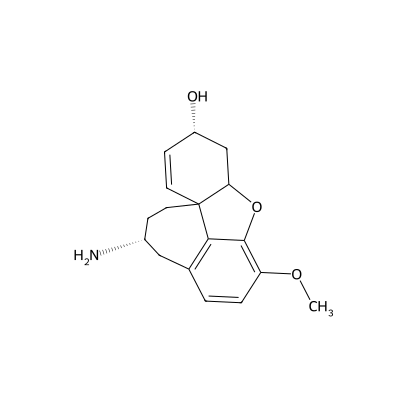 COc1ccc2c3c1OC1C[C@@H](O)C=CC31CC[C@@H](N)C2